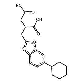 O=C(O)CC(Sc1nc2ccc(C3CCCCC3)cc2o1)C(=O)O